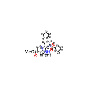 CCCCCN[C@@H]1CC(C(=O)OC)CCN1CC[C@@H](CN(C)S(=O)(=O)c1ccccc1)c1ccccc1